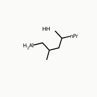 CCCC(C)CC(C)[CH2][AlH2].[HH]